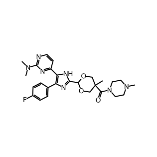 CN1CCN(C(=O)C2(C)COC(c3nc(-c4ccc(F)cc4)c(-c4ccnc(N(C)C)n4)[nH]3)OC2)CC1